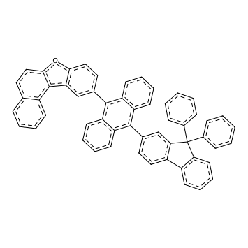 c1ccc(C2(c3ccccc3)c3ccccc3-c3ccc(-c4c5ccccc5c(-c5ccc6oc7ccc8ccccc8c7c6c5)c5ccccc45)cc32)cc1